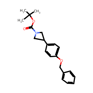 CC(C)(C)OC(=O)N1CC(c2ccc(OCc3ccccc3)cc2)C1